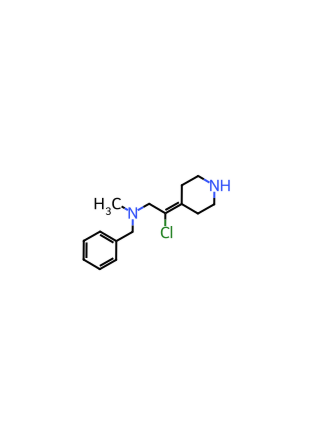 CN(CC(Cl)=C1CCNCC1)Cc1ccccc1